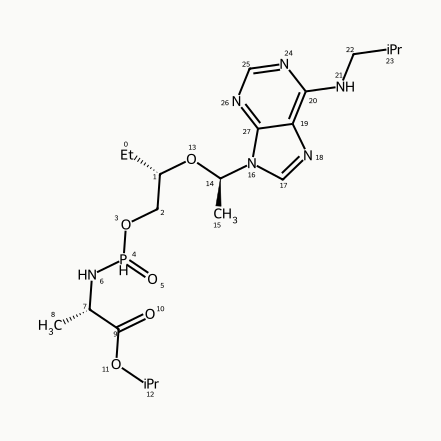 CC[C@@H](CO[PH](=O)N[C@@H](C)C(=O)OC(C)C)O[C@H](C)n1cnc2c(NCC(C)C)ncnc21